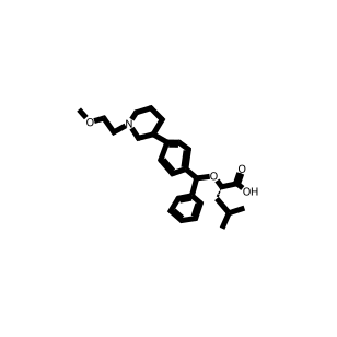 COCCN1CCCC(c2ccc(C(O[C@@H](CC(C)C)C(=O)O)c3ccccc3)cc2)C1